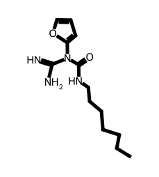 CCCCCCCNC(=O)N(C(=N)N)c1ccco1